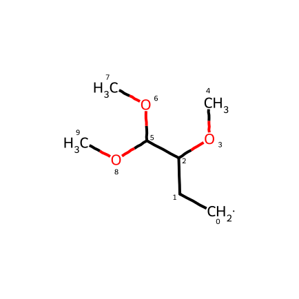 [CH2]CC(OC)C(OC)OC